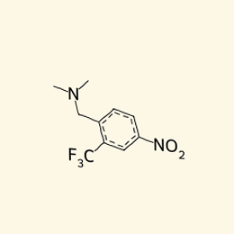 CN(C)Cc1ccc([N+](=O)[O-])cc1C(F)(F)F